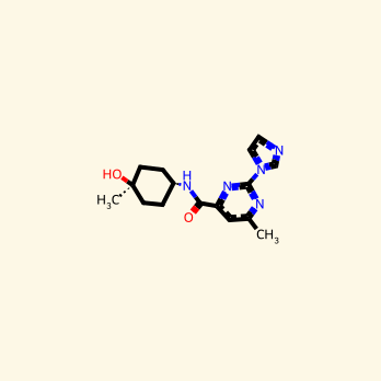 Cc1cc(C(=O)N[C@H]2CC[C@](C)(O)CC2)nc(-n2ccnc2)n1